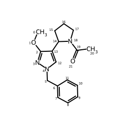 COc1nn(Cc2ccccc2)cc1C1CCCN1C(C)=O